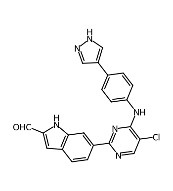 O=Cc1cc2ccc(-c3ncc(Cl)c(Nc4ccc(-c5cn[nH]c5)cc4)n3)cc2[nH]1